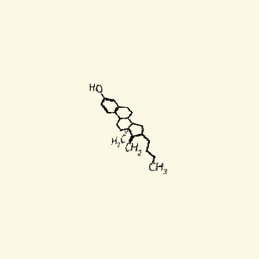 C=C1C(CCCC)CC2C3CCc4cc(O)ccc4C3CC[C@]12C